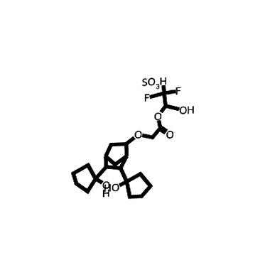 O=C(COC1CC2CC1C(C1(O)CCCC1)C2C1(O)CCCC1)OC(O)C(F)(F)S(=O)(=O)O